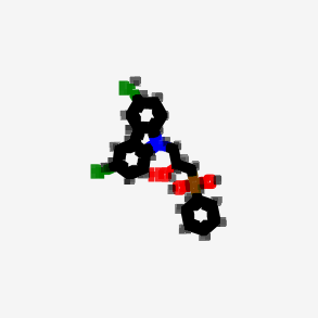 O=S(=O)(C[C@H](O)Cn1c2ccc(Br)cc2c2cc(Br)ccc21)c1ccccc1